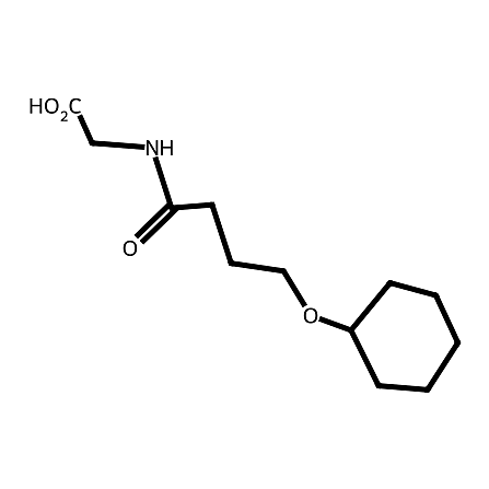 O=C(O)CNC(=O)CCCOC1CCCCC1